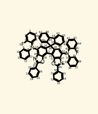 Fc1ccccc1N(c1ccccc1)c1cc2c(c3oc(-c4ccccc4)nc13)-c1c(cc(N(c3ccccc3)c3ccccc3F)c3nc(-c4ccccc4)oc13)C21c2ccccc2-c2ccccc21